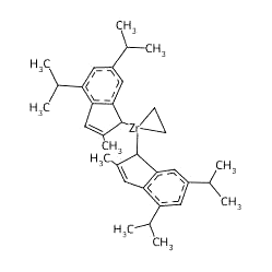 CC1=Cc2c(C(C)C)cc(C(C)C)cc2[CH]1[Zr]1([CH]2C(C)=Cc3c(C(C)C)cc(C(C)C)cc32)[CH2][CH2]1